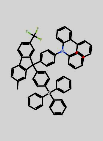 Cc1ccc2c(c1)C(c1ccc(N(c3ccccc3)c3ccccc3-c3ccccc3)cc1)(c1ccc([Si](c3ccccc3)(c3ccccc3)c3ccccc3)cc1)c1cc(C(F)(F)F)ccc1-2